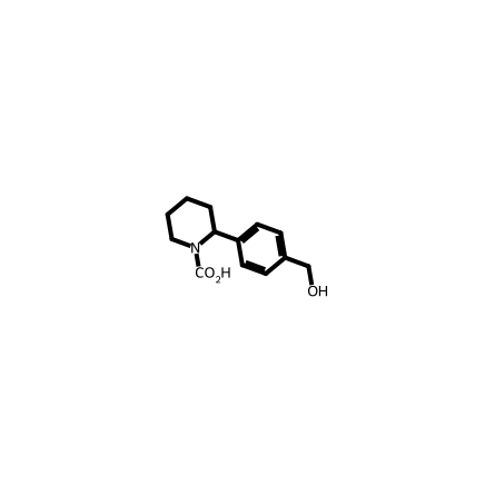 O=C(O)N1CCCCC1c1ccc(CO)cc1